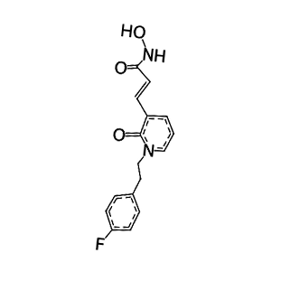 O=C(/C=C/c1cccn(CCc2ccc(F)cc2)c1=O)NO